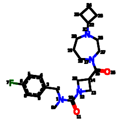 CN(Cc1ccc(F)cc1)C(=O)N1CC(C(=O)N2CCCN(C3CCC3)CC2)C1